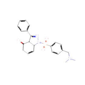 CN(C)Cc1ccc(S(=O)(=O)N2N=C(c3ccccc3)C3C(=O)CC=CC32)cc1